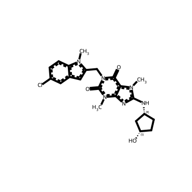 Cn1c(Cn2c(=O)c3c(nc(N[C@@H]4CC[C@H](O)C4)n3C)n(C)c2=O)cc2cc(Cl)ccc21